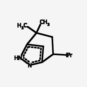 CC(C)C1CC(C)(C)c2cc1n[nH]2